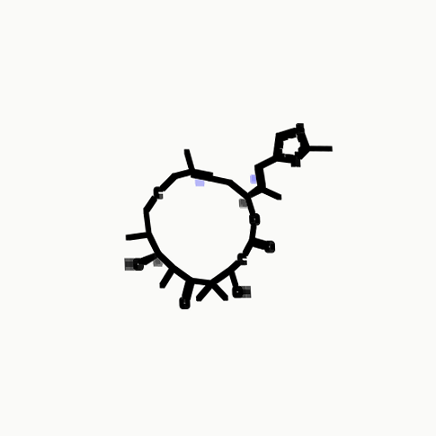 C/C1=C\C[C@@H](/C(C)=C/c2csc(C)n2)OC(=O)CC(O)C(C)(C)C(=O)C(C)[C@@H](O)C(C)CCC1